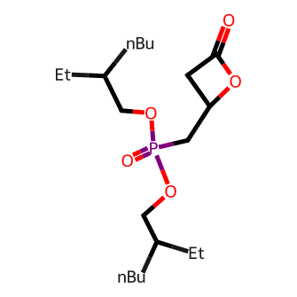 CCCCC(CC)COP(=O)(CC1CC(=O)O1)OCC(CC)CCCC